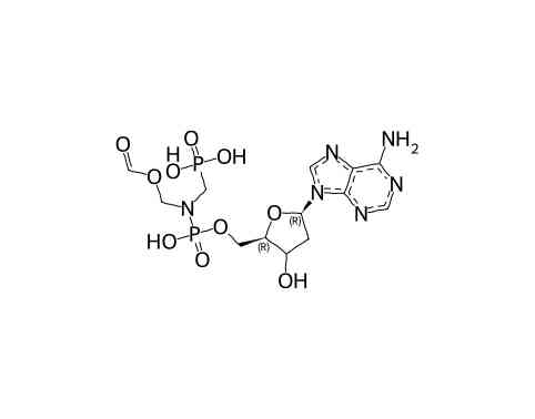 Nc1ncnc2c1ncn2[C@H]1CC(O)[C@@H](COP(=O)(O)N(COC=O)CP(=O)(O)O)O1